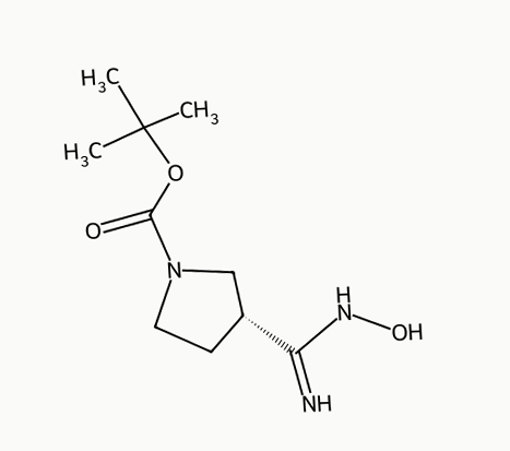 CC(C)(C)OC(=O)N1CC[C@@H](C(=N)NO)C1